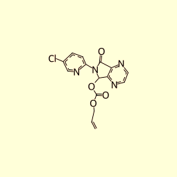 C=CCOC(=O)OC1c2nccnc2C(=O)N1c1ccc(Cl)cn1